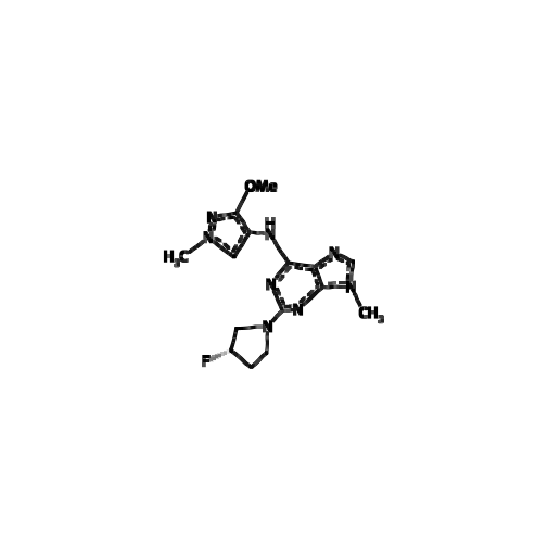 COc1nn(C)cc1Nc1nc(N2CC[C@H](F)C2)nc2c1ncn2C